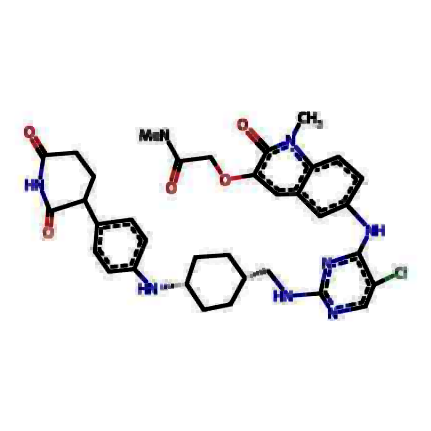 CNC(=O)COc1cc2cc(Nc3nc(NC[C@H]4CC[C@@H](Nc5ccc(C6CCC(=O)NC6=O)cc5)CC4)ncc3Cl)ccc2n(C)c1=O